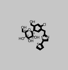 OCc1cc(Cl)c(Cc2ncc(-c3cccs3)s2)cc1[C@@H]1O[C@H](CO)[C@@H](O)[C@H](O)[C@H]1O